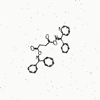 O=C(CCC(=O)O/N=C(\c1ccccc1)c1ccccn1)ON=C(c1ccccc1)c1ccccc1